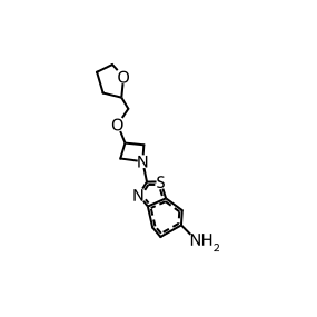 Nc1ccc2nc(N3CC(OCC4CCCO4)C3)sc2c1